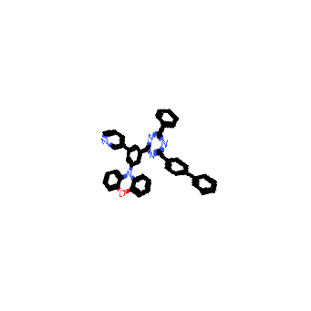 c1ccc(-c2ccc(-c3nc(-c4ccccc4)nc(-c4cc(-c5cccnc5)cc(N5c6ccccc6Oc6ccccc65)c4)n3)cc2)cc1